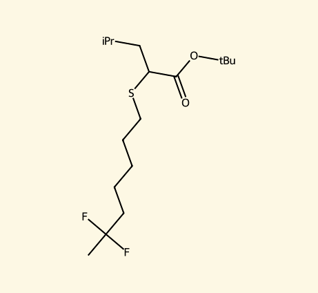 CC(C)CC(SCCCCCC(C)(F)F)C(=O)OC(C)(C)C